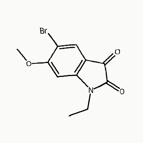 CCN1C(=O)C(=O)c2cc(Br)c(OC)cc21